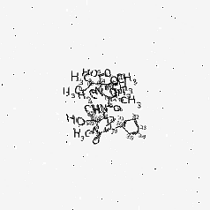 CC[C@H](C)[C@](C(=O)O)([C@@H](C)OC)N(C)[C@H](C(=O)NC(=O)[C@H]([C@@H](C)O)N(C)C(=O)OCc1ccccc1)C(C)C